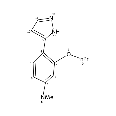 CCCOc1cc(NC)ccc1-c1ccn[nH]1